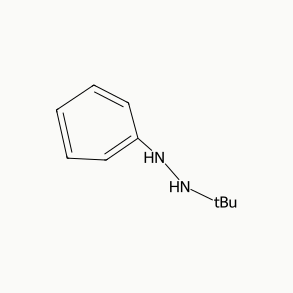 CC(C)(C)NNc1ccccc1